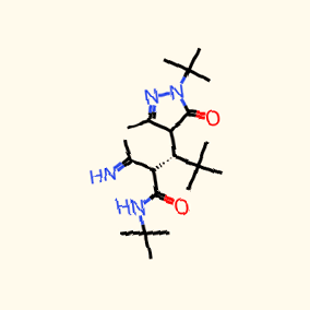 CC(=N)C(C(=O)NC(C)(C)C)[C@H](C1C(=O)N(C(C)(C)C)N=C1C)C(C)(C)C